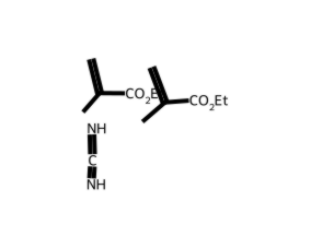 C=C(C)C(=O)OCC.C=C(C)C(=O)OCC.N=C=N